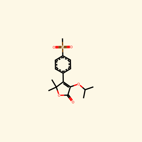 CC(C)OC1=C(c2ccc(S(C)(=O)=O)cc2)C(C)(C)OC1=O